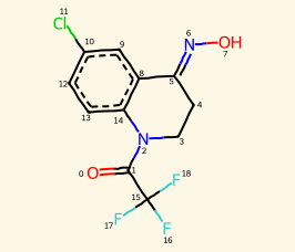 O=C(N1CCC(=NO)c2cc(Cl)ccc21)C(F)(F)F